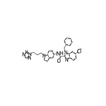 O=C(Nc1ccc2c(ccn2CCCn2ncnn2)c1)c1nc2ccc(Cl)cc2n1Cc1ccccc1